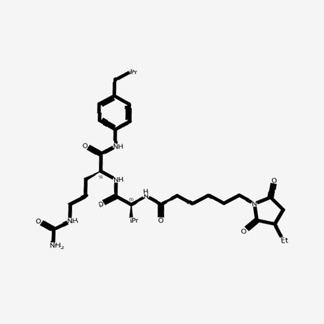 CCC1CC(=O)N(CCCCCC(=O)N[C@H](C(=O)N[C@@H](CCCNC(N)=O)C(=O)Nc2ccc(CC(C)C)cc2)C(C)C)C1=O